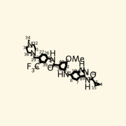 COc1cc(Nc2ccc3c(NC(=O)C4CC4)n[nH]c3c2)cc(C(=O)Nc2ccc(CN3CCN(C)CC3)c(C(F)(F)F)c2)c1